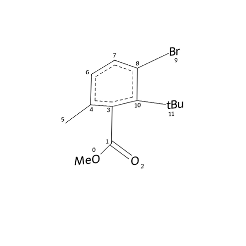 COC(=O)c1c(C)ccc(Br)c1C(C)(C)C